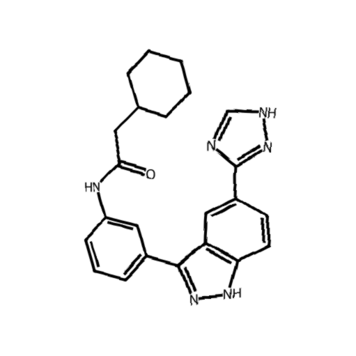 O=C(CC1CCCCC1)Nc1cccc(-c2n[nH]c3ccc(-c4nc[nH]n4)cc23)c1